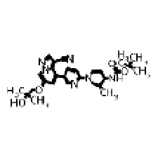 CC1CN(c2ccc(-c3cc(OCC(C)(C)O)cn4ncc(C#N)c34)cn2)CCC1NC(=O)OC(C)(C)C